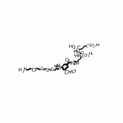 NCCOCCOCCOCCOCc1cn(-c2cc(C=O)cc(C(=O)NCCCC[C@H](NC(=O)N[C@@H](CCC(=O)O)C(=O)O)C(=O)O)c2)nn1